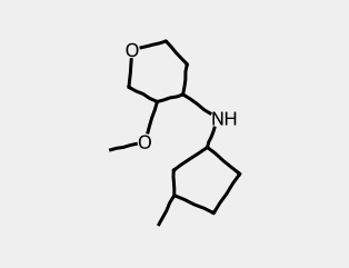 COC1COCCC1NC1CCC(C)C1